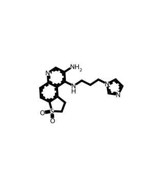 Nc1cnc2ccc3c(c2c1NCCCn1ccnc1)CCS3(=O)=O